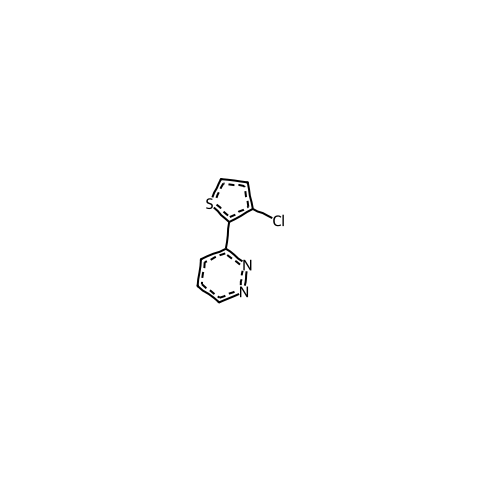 Clc1ccsc1-c1cccnn1